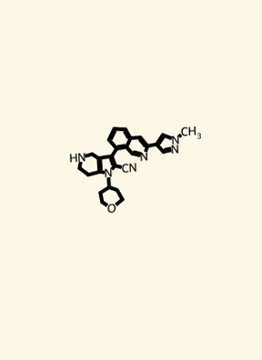 Cn1cc(-c2cc3cccc(-c4c5c(n(C6CCOCC6)c4C#N)CCNC5)c3cn2)cn1